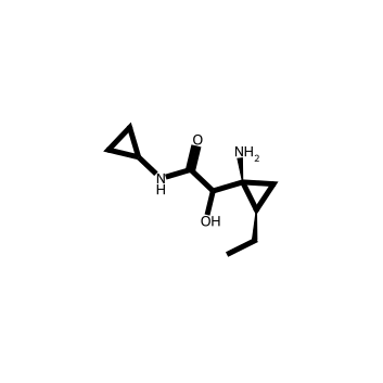 CC[C@@H]1C[C@@]1(N)C(O)C(=O)NC1CC1